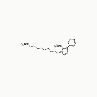 CCCCCCCCCCCCCCCCCCCN1C=CN(c2ccccc2)C1CCCCCCCCCC